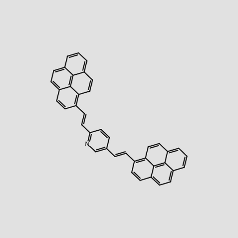 C(=Cc1ccc2ccc3cccc4ccc1c2c34)c1ccc(C=Cc2ccc3ccc4cccc5ccc2c3c45)nc1